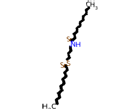 CCCCCCCCCCCCC(=S)NCCCCCSC(=S)CCCCCCCCCCCC